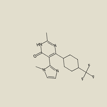 Cc1nc(C2CCC(C(F)(F)F)CC2)c(-c2nccn2C)c(=O)[nH]1